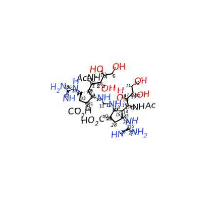 CC(=O)N[C@H]([C@@H](O)[C@@H](O)CO)[C@@H]1[C@H](NCN[C@H]2[C@@H]([C@H](NC(C)=O)[C@@H](O)[C@@H](O)CO)[C@H](NC(=N)N)C[C@@H]2C(=O)O)[C@@H](C(=O)O)C[C@H]1NC(=N)N